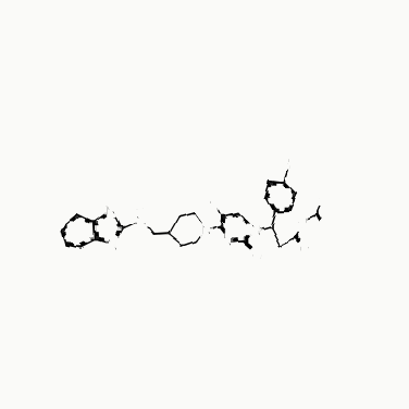 Cc1ccc(C(CC(=O)OC(=O)C(F)(F)F)n2cc(C)c(N3CCC(CNc4nc5ccccc5[nH]4)CC3)nc2=O)cc1